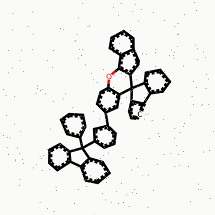 c1ccc(C2(c3cccc(-c4ccc5c(c4)C4(c6ccccc6-c6ccccc64)c4ccc6ccccc6c4O5)c3)c3ccccc3-c3ccccc32)cc1